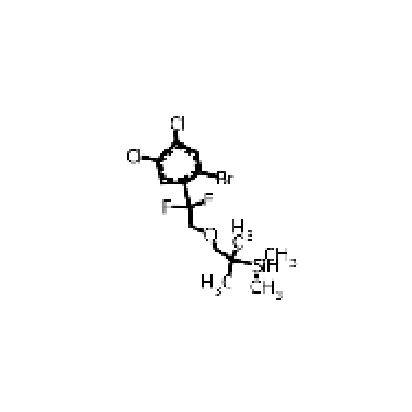 C[SiH](C)C(C)(C)COCC(F)(F)c1cc(Cl)c(Cl)cc1Br